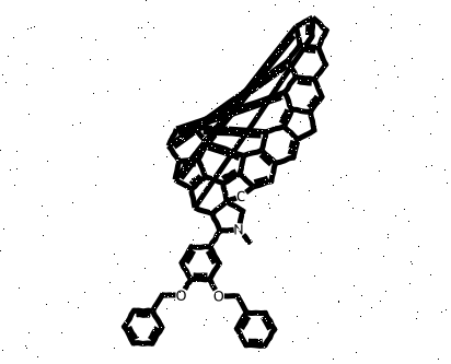 CN1CC23Cc4cc5cc6c7c8c(cc9c%10c%11c%12c%13c%14c(c%15c2c4c2c5c7c4c2c%15c%14c%11c4c8%10)C(C=C%13CC=%12C9)C3C1c1ccc(OCc2ccccc2)c(OCc2ccccc2)c1)C6